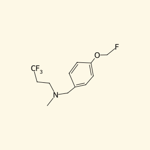 CN(CCC(F)(F)F)Cc1ccc(OCF)cc1